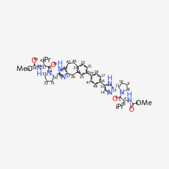 COC(=O)N[C@H](C(=O)N1CCC[C@H]1c1ncc(-c2ccc(-c3ccc4c(c3)Cc3nc([C@@H]5CCCN5C(=O)[C@@H](NC(=O)OC)C(C)C)[nH]c3CC4)cc2)[nH]1)C(C)C